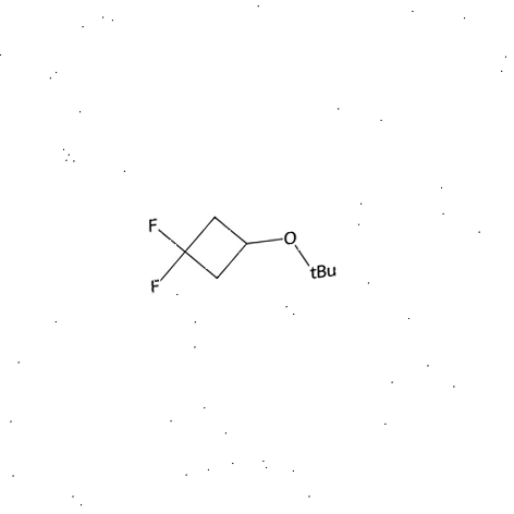 CC(C)(C)OC1CC(F)(F)C1